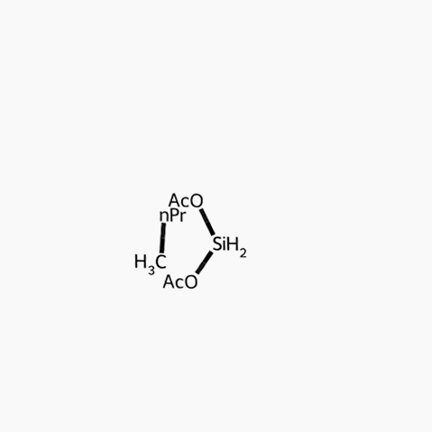 CC(=O)O[SiH2]OC(C)=O.CCCC